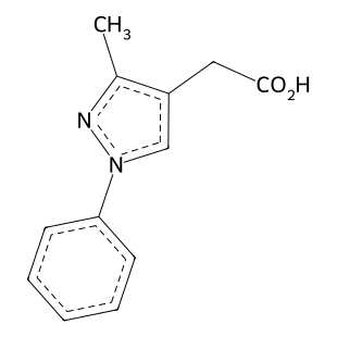 Cc1nn(-c2ccccc2)cc1CC(=O)O